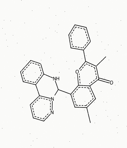 Cc1cc(C(C)Nc2ccccc2-c2cccnn2)c2oc(-c3ccccc3)c(C)c(=O)c2c1